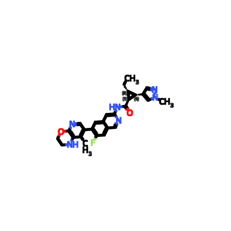 CC[C@H]1[C@H](C(=O)Nc2cc3cc(-c4cnc5c(c4C)NCCO5)c(F)cc3cn2)[C@H]1c1cnn(C)c1